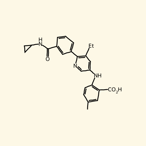 CCc1cc(Nc2ccc(C)cc2C(=O)O)cnc1-c1cccc(C(=O)NC2CC2)c1